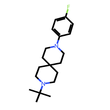 CC(C)(C)N1CCC2(CCN(c3ccc(F)cc3)CC2)CC1